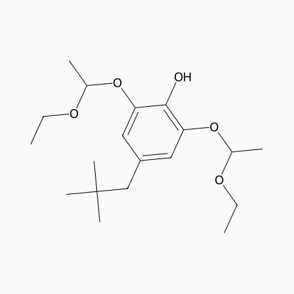 CCOC(C)Oc1cc(CC(C)(C)C)cc(OC(C)OCC)c1O